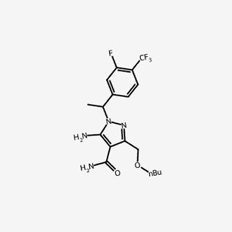 CCCCOCc1nn(C(C)c2ccc(C(F)(F)F)c(F)c2)c(N)c1C(N)=O